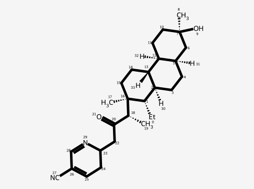 CC[C@H]1[C@@H]2CC[C@@H]3C[C@](C)(O)CC[C@@H]3[C@H]2CC[C@]1(C)[C@H](C)C(=O)CC1CC=C(C#N)C=N1